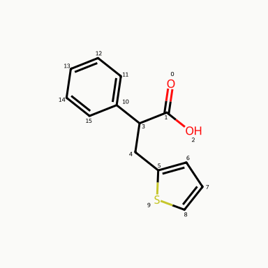 O=C(O)C(Cc1cccs1)c1ccccc1